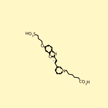 O=C(O)CCCCC[n+]1cccc(/C=C/c2nc3ccc(OCCCS(=O)(=O)O)cc3o2)c1